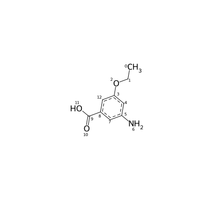 CCOc1cc(N)cc(C(=O)O)c1